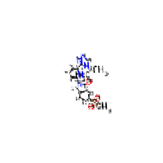 CC(C)n1cnnc1-c1cccc(N2Cc3ccc(S(C)(=O)=O)cc3C2=O)n1